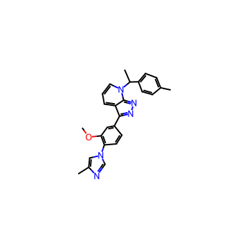 COc1cc(-c2nnc3n(C(C)c4ccc(C)cc4)cccc2-3)ccc1-n1cnc(C)c1